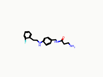 NCCC(=O)NCc1ccc(NCCc2ccccc2F)cc1